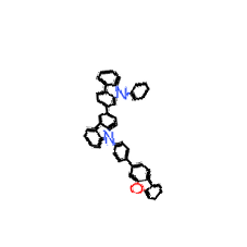 c1ccc(-n2c3ccccc3c3ccc(-c4ccc5c(c4)c4ccccc4n5-c4ccc(-c5ccc6c(c5)oc5ccccc56)cc4)cc32)cc1